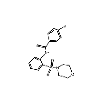 O=C(Nc1ccccc1S(=O)(=O)N1CCOCC1)c1ccc(F)cc1